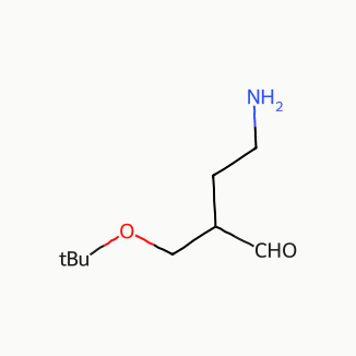 CC(C)(C)OCC(C=O)CCN